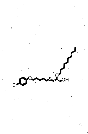 CCCCCCCCCCO[C@@H](CO)CSCCCCCOc1ccc(Cl)cc1